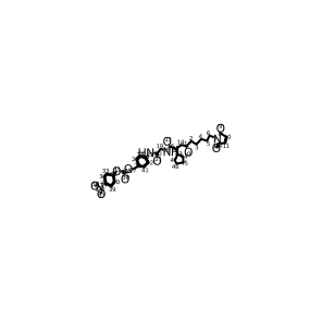 O=C(CCCCCN1C(=O)C=CC1=O)CC(C(=O)NCC(=O)Nc1ccc(COC(=O)Oc2ccc([N+](=O)[O-])cc2)cc1)C1CCCC1